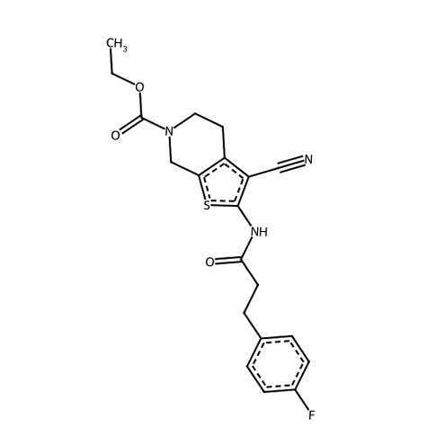 CCOC(=O)N1CCc2c(sc(NC(=O)CCc3ccc(F)cc3)c2C#N)C1